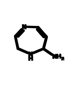 NC1C=CN=CCN1